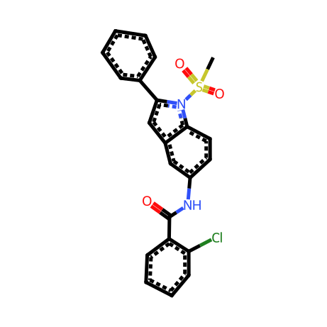 CS(=O)(=O)n1c(-c2ccccc2)cc2cc(NC(=O)c3ccccc3Cl)ccc21